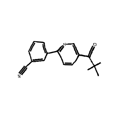 CC(C)(C)C(=O)c1ccc(-c2cccc(C#N)c2)nc1